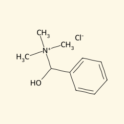 C[N+](C)(C)C(O)c1ccccc1.[Cl-]